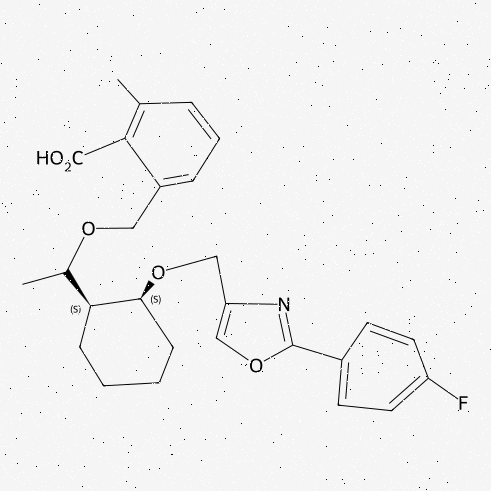 Cc1cccc(COC(C)[C@@H]2CCCC[C@@H]2OCc2coc(-c3ccc(F)cc3)n2)c1C(=O)O